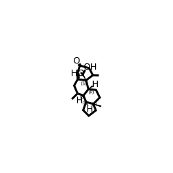 CC1CC2=CC(=O)CC(C)[C@]2(C(O)O)[C@@H]2CC[C@]3(C)CCC[C@H]3[C@H]12